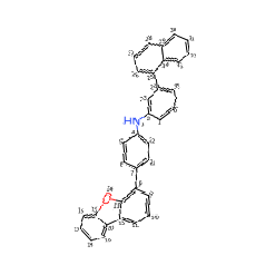 c1cc(Nc2ccc(-c3cccc4c3oc3ccccc34)cc2)cc(-c2cccc3ccccc23)c1